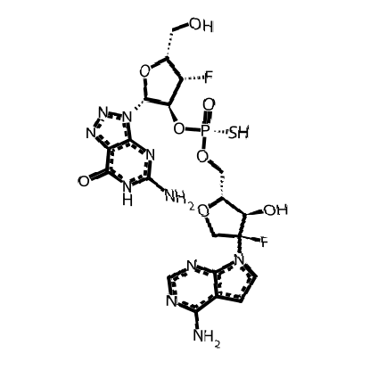 Nc1nc2c(nnn2[C@@H]2O[C@H](CO)[C@H](F)[C@H]2O[P@](=O)(S)OC[C@H]2OC[C@@](F)(n3ccc4c(N)ncnc43)[C@@H]2O)c(=O)[nH]1